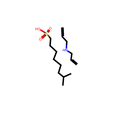 C=CCNCC=C.CC(C)CCCCCCS(=O)(=O)O